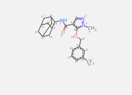 Cn1ncc(C(=O)NC2C3CC4CC(C3)CC2C4)c1OCc1cccc(C(F)(F)F)c1